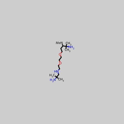 CNC(CCOCCOCCNCC(C)(C)N)C(C)(C)N